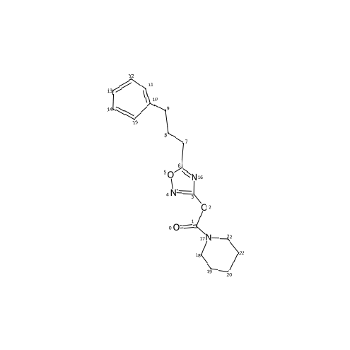 O=C(Oc1noc(CCCc2ccccc2)n1)N1CCCCC1